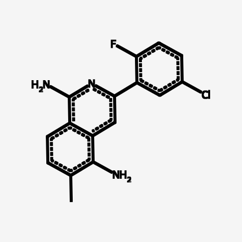 Cc1ccc2c(N)nc(-c3cc(Cl)ccc3F)cc2c1N